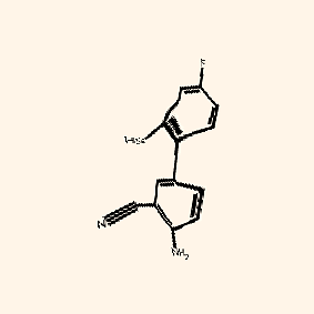 N#Cc1cc(-c2ccc(F)cc2[SeH])ccc1N